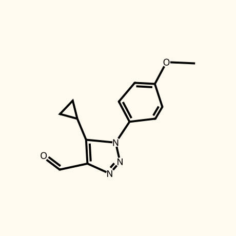 COc1ccc(-n2nnc(C=O)c2C2CC2)cc1